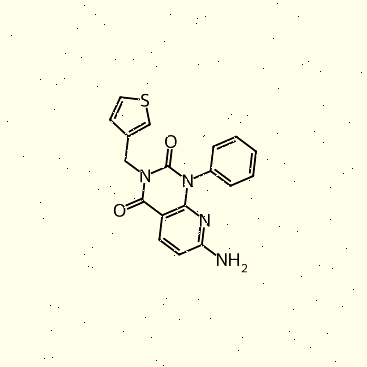 Nc1ccc2c(=O)n(Cc3ccsc3)c(=O)n(-c3ccccc3)c2n1